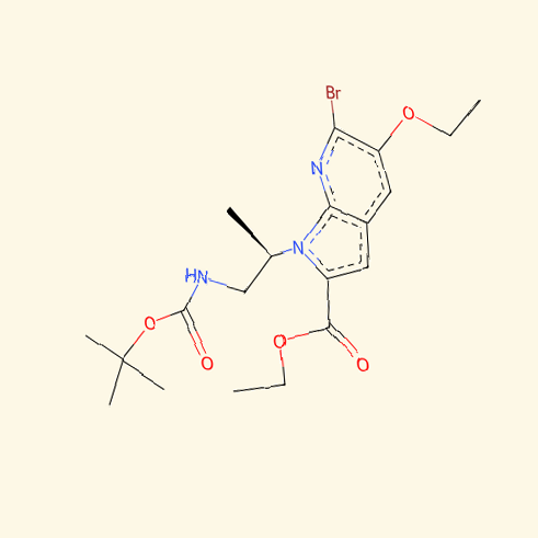 CCOC(=O)c1cc2cc(OCC)c(Br)nc2n1[C@H](C)CNC(=O)OC(C)(C)C